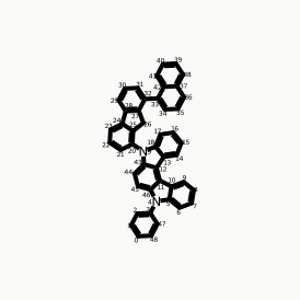 c1ccc(-n2c3ccccc3c3c4c5ccccc5n(-c5cccc6c5Cc5c-6cccc5-c5cccc6ccccc56)c4ccc32)cc1